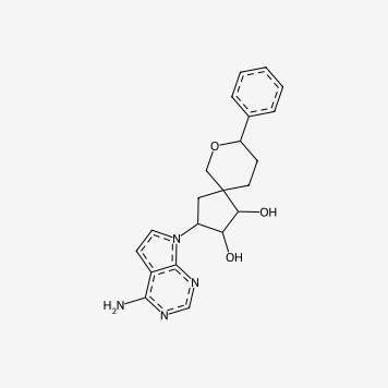 Nc1ncnc2c1ccn2C1CC2(CCC(c3ccccc3)OC2)C(O)C1O